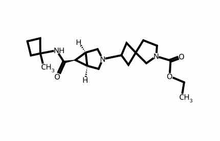 CCOC(=O)N1CCC2(CC(N3C[C@@H]4[C@H](C3)[C@@H]4C(=O)NC3(C)CCC3)C2)C1